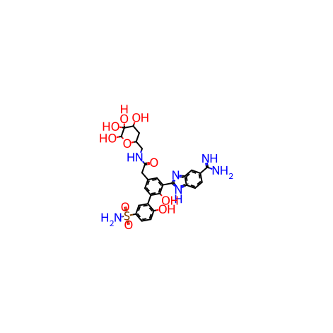 N=C(N)c1ccc2[nH]c(-c3cc(CC(=O)NCC4CC(O)C(O)(O)C(O)O4)cc(-c4cc(S(N)(=O)=O)ccc4O)c3O)nc2c1